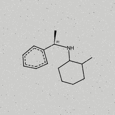 CC1CCCCC1N[C@H](C)c1ccccc1